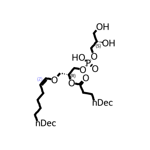 CCCCCCCCCCCCCC/C=C\OC[C@H](COP(=O)(O)OC[C@@H](O)CO)OC(=O)CCCCCCCCCCCC